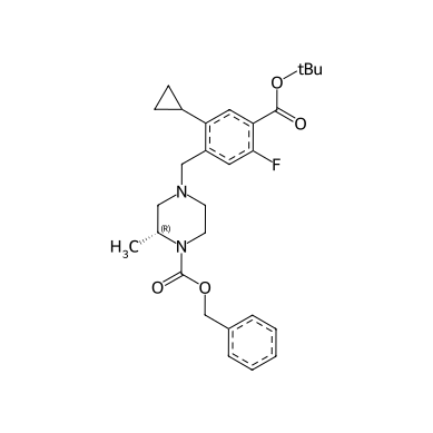 C[C@@H]1CN(Cc2cc(F)c(C(=O)OC(C)(C)C)cc2C2CC2)CCN1C(=O)OCc1ccccc1